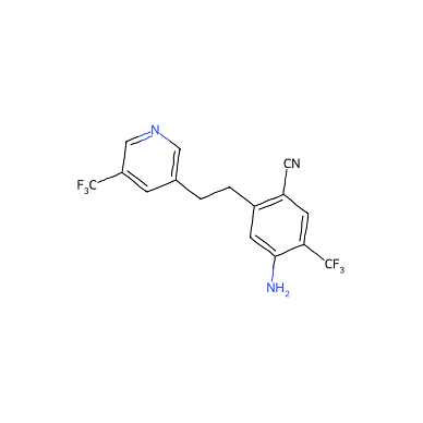 N#Cc1cc(C(F)(F)F)c(N)cc1CCc1cncc(C(F)(F)F)c1